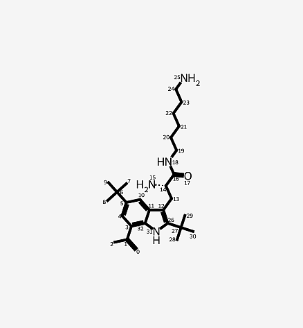 C=C(C)c1cc(C(C)(C)C)cc2c(C[C@H](N)C(=O)NCCCCCCN)c(C(C)(C)C)[nH]c12